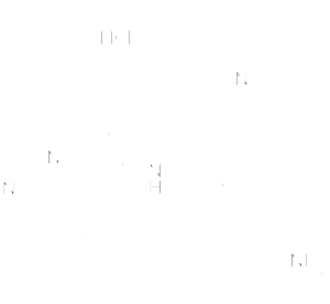 Cl.NCCCOc1cc2ncccc2cc1NC(=O)c1csc2cncnc12